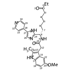 CCC(=O)CCCCC[C@H](NC(=O)Cc1c(C)[nH]c2ccc(OC)cc12)c1ncc(-c2ccncc2)[nH]1